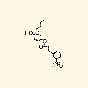 CCCCOC(O)/C=C\[C@@H](C)OC(=O)/C=C/C1=CCCC([N+](=O)[O-])C1